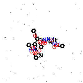 CN[C@@H](C[C@H](CNC(=O)OCc1ccccc1)O[Si](C)(C)C(C)(C)C)C(=O)N[C@@H](Cc1cc(OCc2ccccc2)cc(-c2ccc(OCc3ccccc3)c(C[C@H](NC(=O)OCc3ccccc3)C(=O)OCC[Si](C)(C)C)c2)c1)C(=O)OCc1ccccc1